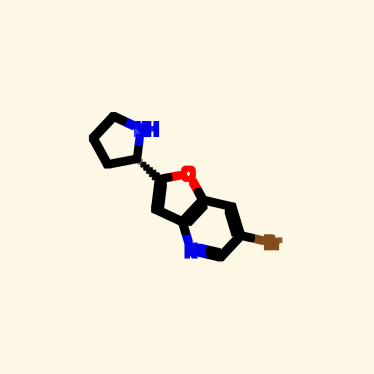 Brc1cnc2cc([C@@H]3CCCN3)oc2c1